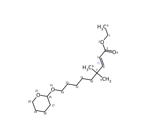 CCOC(=O)/C=C/C(C)(C)CCCCCOC1CCCCO1